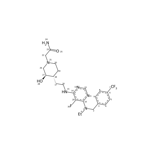 CCN(Cc1ccc(C(F)(F)F)cc1)c1ncnc(NCC[C@H]2CCN(CC(N)=O)C[C@@H]2O)c1F